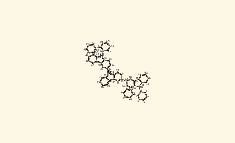 c1ccc(-c2ccccc2C2c3ccccc3-c3cc(-c4ccc5c(c4)c4ccccc4n5-c4ccc5c(c4)c4ccccc4n5-c4ccccc4-c4ccccc4)ccc32)cc1